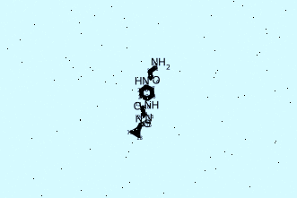 NCCC(=O)NC1CCC(NC(=O)c2noc(C3CC3)n2)CC1